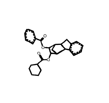 O=C(OC1C2CC(C1OC(=O)C1CCCCC1)C1c3ccccc3CC21)c1ccccc1